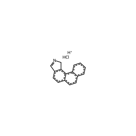 C1=NCc2c1ccc1ccc3ccccc3c21.Cl.[H+]